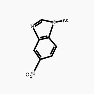 CC(=O)n1cnc2cc([N+](=O)[O-])ccc21